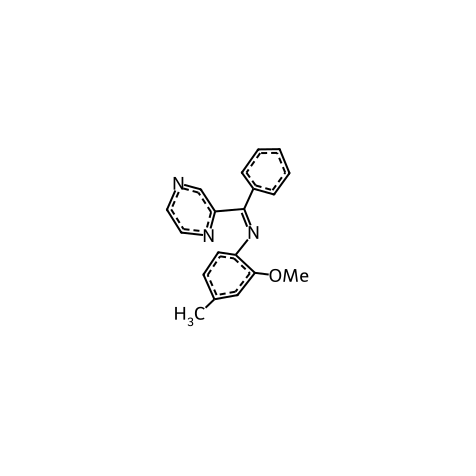 COc1cc(C)ccc1N=C(c1ccccc1)c1cnccn1